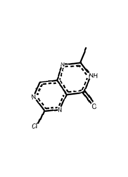 Cc1nc2cnc(Cl)nc2c(=O)[nH]1